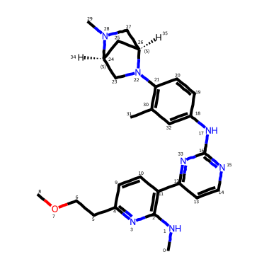 CNc1nc(CCOC)ccc1-c1ccnc(Nc2ccc(N3C[C@@H]4C[C@H]3CN4C)c(C)c2)n1